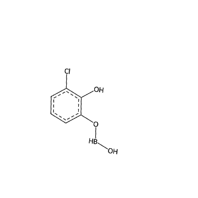 OBOc1cccc(Cl)c1O